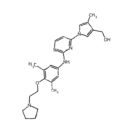 Cc1cn(-c2ccnc(Nc3cc(C)c(OCCN4CCCC4)c(C)c3)n2)cc1CO